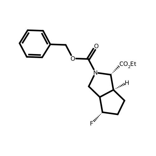 CCOC(=O)[C@@H]1[C@H]2CC[C@H](F)C2CN1C(=O)OCc1ccccc1